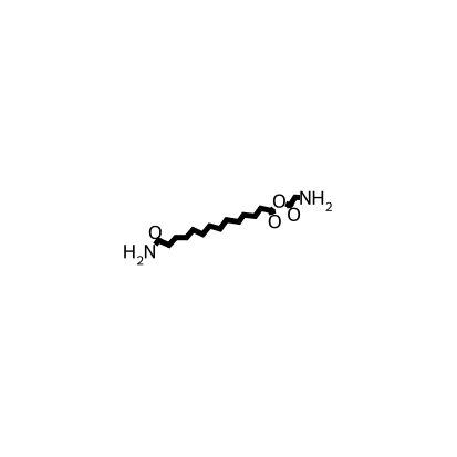 NCC(=O)OC(=O)CCCCCCCCCCCCC(N)=O